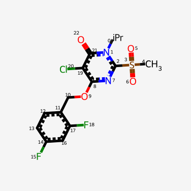 CC(C)n1c(S(C)(=O)=O)nc(OCc2ccc(F)cc2F)c(Cl)c1=O